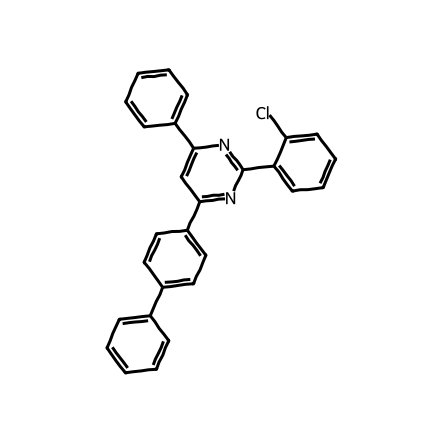 Clc1ccccc1-c1nc(-c2ccccc2)cc(-c2ccc(-c3ccccc3)cc2)n1